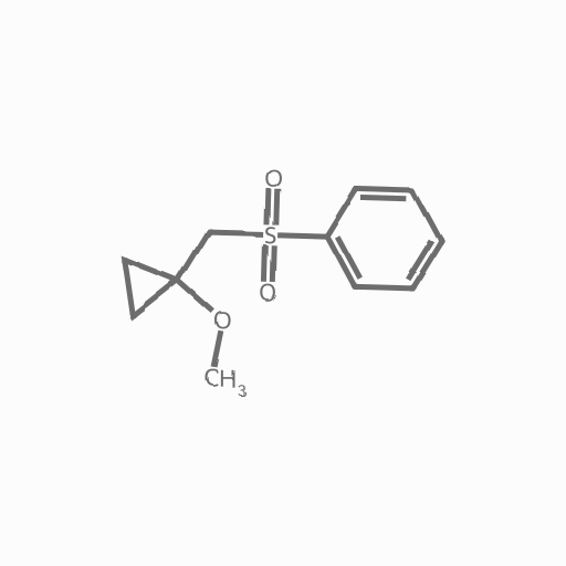 COC1(CS(=O)(=O)c2ccccc2)CC1